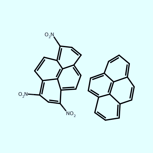 O=[N+]([O-])c1ccc2ccc3c([N+](=O)[O-])cc([N+](=O)[O-])c4ccc1c2c34.c1cc2ccc3cccc4ccc(c1)c2c34